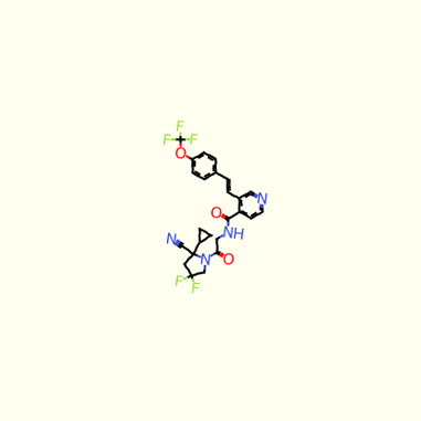 N#CC1(C2CC2)CC(F)(F)CN1C(=O)CNC(=O)c1ccncc1/C=C/c1ccc(OC(F)(F)F)cc1